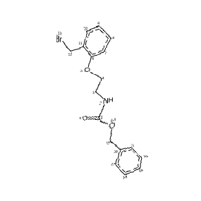 O=C(NCCOc1ccccc1CBr)OCc1ccccc1